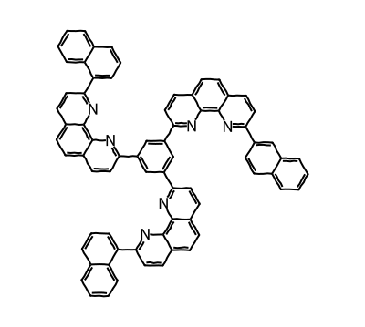 c1ccc2cc(-c3ccc4ccc5ccc(-c6cc(-c7ccc8ccc9ccc(-c%10cccc%11ccccc%10%11)nc9c8n7)cc(-c7ccc8ccc9ccc(-c%10cccc%11ccccc%10%11)nc9c8n7)c6)nc5c4n3)ccc2c1